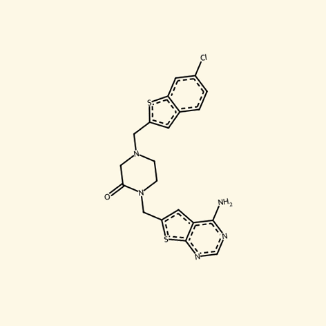 Nc1ncnc2sc(CN3CCN(Cc4cc5ccc(Cl)cc5s4)CC3=O)cc12